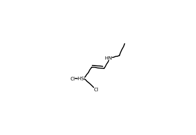 CCNC=C[SiH](Cl)Cl